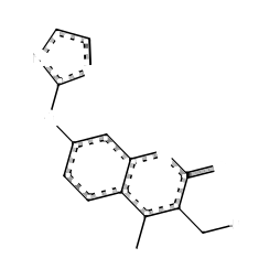 Cc1c(CBr)c(=O)oc2cc(Oc3nccs3)ccc12